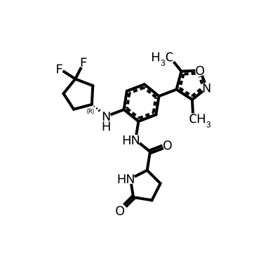 Cc1noc(C)c1-c1ccc(N[C@@H]2CCC(F)(F)C2)c(NC(=O)C2CCC(=O)N2)c1